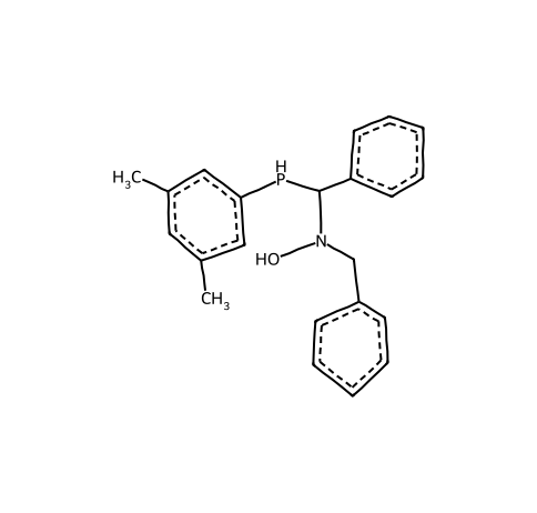 Cc1cc(C)cc(PC(c2ccccc2)N(O)Cc2ccccc2)c1